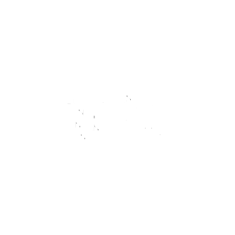 CCn1nnnc1Sc1nc(C(F)(F)F)c(C(=O)O)s1